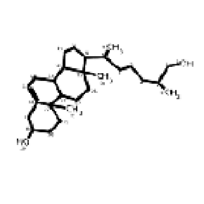 CC(CO)CCCC(C)C1CCC2C3CC=C4CC(O)CCC4(C)C3CCC12C